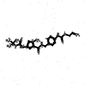 C=CCOC(=O)Nc1ccc(CNC(=O)c2cc(NC(=O)OC(C)(C)C)cn2C)cc1